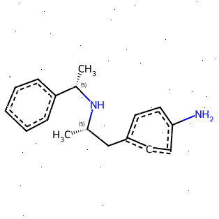 C[C@H](N[C@@H](C)Cc1ccc(N)cc1)c1ccccc1